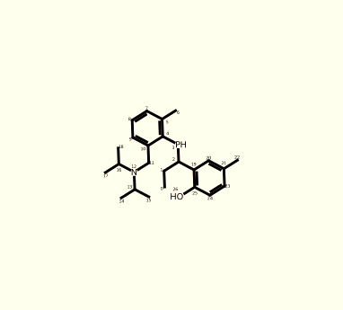 CCC(Pc1c(C)cccc1CN(C(C)C)C(C)C)c1cc(C)ccc1O